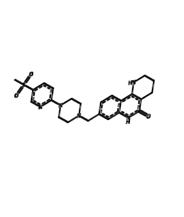 CS(=O)(=O)c1ccc(N2CCN(Cc3ccc4c5c(c(=O)[nH]c4c3)CCCN5)CC2)nc1